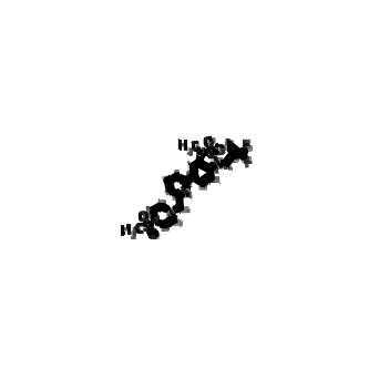 CN1c2cc(-c3cccc(CN4CCN(S(C)(=O)=O)CC4)n3)ccc2N(CC2CC2(F)F)S1(=O)=O